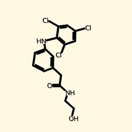 O=C(Cc1cccc(Nc2c(Cl)cc(Cl)cc2Cl)c1)NCCO